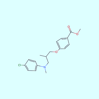 COC(=O)c1ccc(OCC(C)CN(C)c2ccc(Cl)cc2)cc1